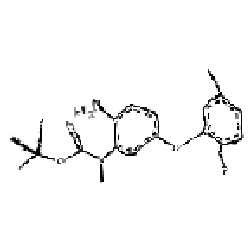 Cc1ccc(F)c(Oc2ccc(N)c(N(C)C(=O)OC(C)(C)C)c2)c1